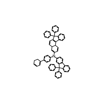 C1=CCCC(c2ccc(N(C3=CC4C=CC5=C(c6ccccc6C5(c5ccccc5)c5ccccc5)C4C=C3)c3ccc4c(c3)C(c3ccccc3)(c3ccccc3)c3ccccc3-4)cc2)=C1